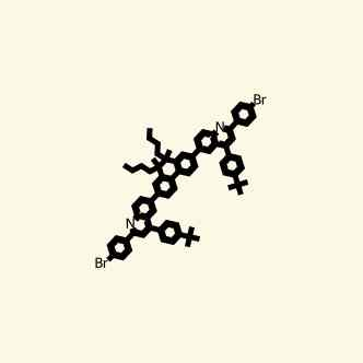 CCCCC1(C)c2cc(-c3ccc4nc(-c5ccc(Br)cc5)cc(-c5ccc(C(C)(C)C)cc5)c4c3)ccc2-c2ccc(-c3ccc4nc(-c5ccc(Br)cc5)cc(-c5ccc(C(C)(C)C)cc5)c4c3)cc2C1(C)CCCC